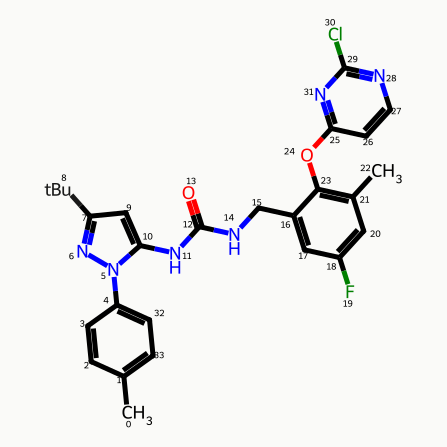 Cc1ccc(-n2nc(C(C)(C)C)cc2NC(=O)NCc2cc(F)cc(C)c2Oc2ccnc(Cl)n2)cc1